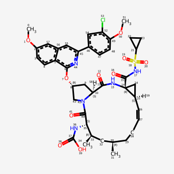 COc1ccc2c(O[C@@H]3C[C@H]4C(=O)N[C@]5(C(=O)NS(=O)(=O)C6CC6)C[C@H]5C=CCC[C@@H](C)C[C@@H](C)[C@H](NC(=O)O)C(=O)N4C3)nc(-c3ccc(OC)c(Cl)c3)cc2c1